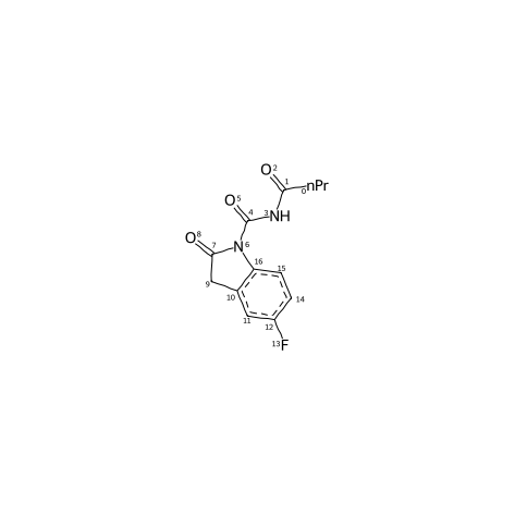 CCCC(=O)NC(=O)N1C(=O)Cc2cc(F)ccc21